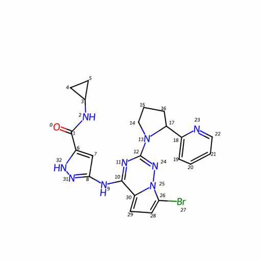 O=C(NC1CC1)c1cc(Nc2nc(N3CCCC3c3ccccn3)nn3c(Br)ccc23)n[nH]1